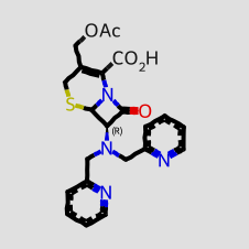 CC(=O)OCC1=C(C(=O)O)N2C(=O)[C@@H](N(Cc3ccccn3)Cc3ccccn3)C2SC1